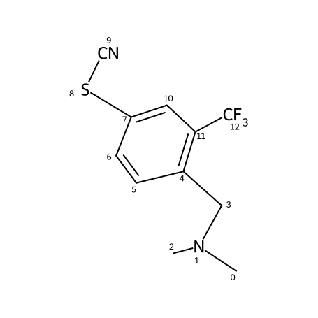 CN(C)Cc1ccc(SC#N)cc1C(F)(F)F